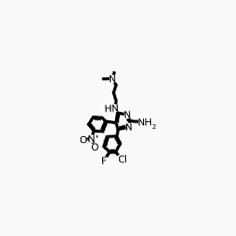 CN(C)CCCNc1nc(N)nc(-c2ccc(F)c(Cl)c2)c1-c1cccc([N+](=O)[O-])c1